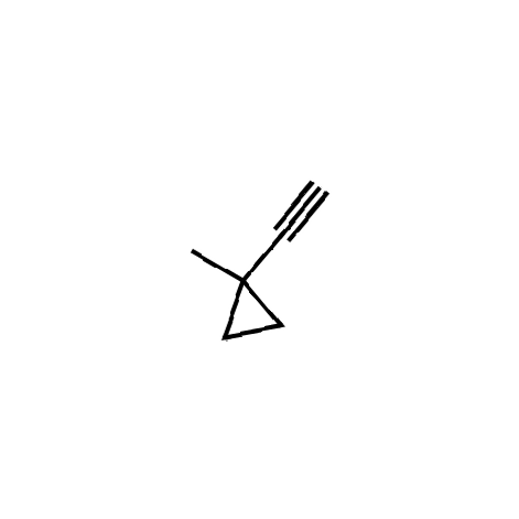 C#CC1(C)CC1